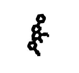 CC(C(=O)Nc1cccc(C#N)c1)n1nc(-c2ccccc2)ccc1=O